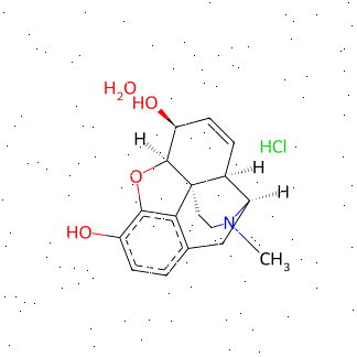 CN1CC[C@]23c4c5ccc(O)c4O[C@H]2[C@@H](O)C=C[C@H]3[C@H]1C5.Cl.O